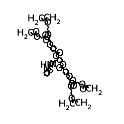 C=CC(=C)OCCCCOCC(COc1ccc(C(=O)Oc2ccc(OC(=O)c3ccc(OCC(COCCCCOC(=C)C=C)OC(=O)CCOC(=O)C=C)cc3)c(/C=N/Nc3nc4ccccc4s3)c2)cc1)OC(=O)CCOC(=O)C=C